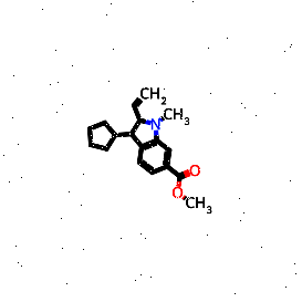 C=CC1C(C2CCCC2)c2ccc(C(=O)OC)cc2N1C